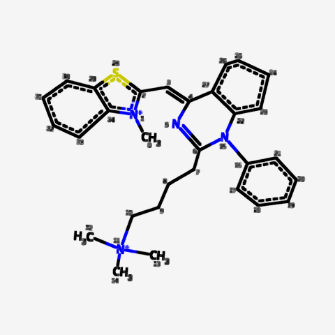 C[n+]1c(/C=C2\N=C(CCCC[N+](C)(C)C)N(c3ccccc3)c3ccccc32)sc2ccccc21